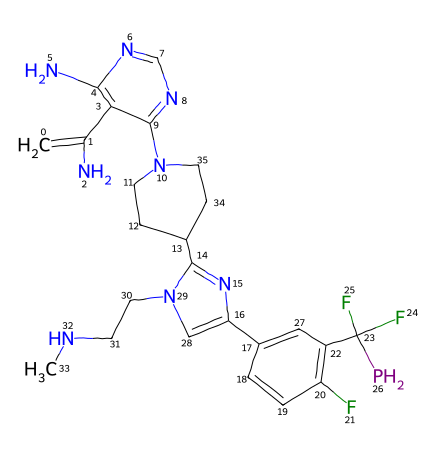 C=C(N)c1c(N)ncnc1N1CCC(c2nc(-c3ccc(F)c(C(F)(F)P)c3)cn2CCNC)CC1